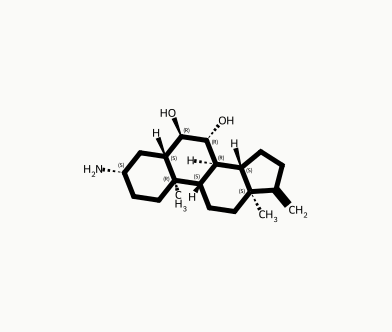 C=C1CC[C@H]2[C@@H]3[C@@H](O)[C@H](O)[C@H]4C[C@@H](N)CC[C@]4(C)[C@H]3CC[C@]12C